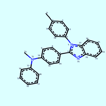 Cc1ccc(-n2c(-c3ccc(N(C)c4ccccc4)cc3)nc3ccccc32)cc1